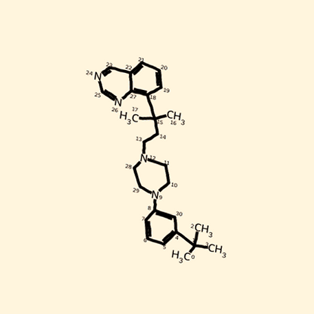 CC(C)(C)c1cccc(N2CCN(CCC(C)(C)c3cccc4cncnc34)CC2)c1